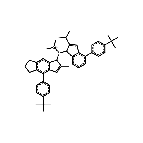 CC1=Cc2c(cc3c(c2-c2ccc(C(C)(C)C)cc2)CCC3)[CH]1[Zr]([CH]1C(C(C)C)=Cc2c(-c3ccc(C(C)(C)C)cc3)cccc21)[SiH](C)C